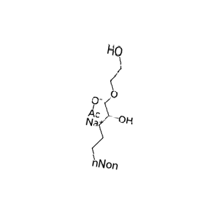 CC(=O)[O-].CCCCCCCCCCCCC(O)COCCO.[Na+]